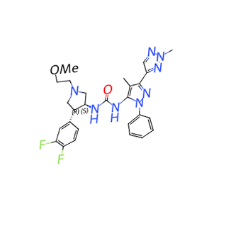 COCCN1C[C@@H](NC(=O)Nc2c(C)c(-c3cnn(C)n3)nn2-c2ccccc2)[C@H](c2ccc(F)c(F)c2)C1